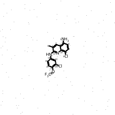 Cc1cc2c(N)ccc(Cl)c2nc1Nc1ccc(OC(F)(F)F)c(Cl)c1